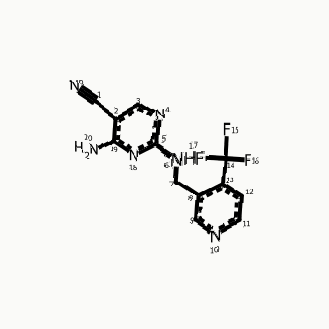 N#Cc1cnc(NCc2cnccc2C(F)(F)F)nc1N